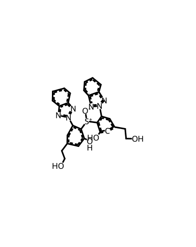 [O-][S+](c1c(O)cc(CCO)cc1-n1nc2ccccc2n1)c1c(O)cc(CCO)cc1-n1nc2ccccc2n1